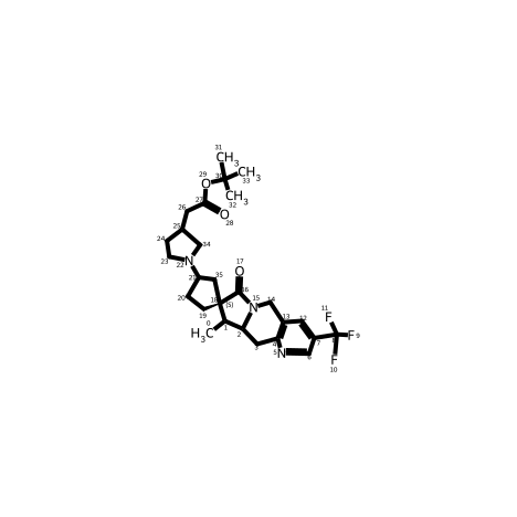 CC1C2Cc3ncc(C(F)(F)F)cc3CN2C(=O)[C@]12CCC(N1CCC(CC(=O)OC(C)(C)C)C1)C2